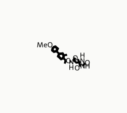 COc1ccc(-c2ccc(C(C)CNC(=O)CC3(C)NC(=O)NC3=O)c(C)c2)cc1